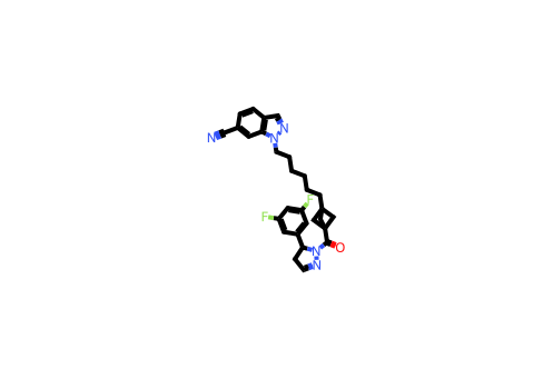 N#Cc1ccc2cnn(CCCCCCC34CC(C(=O)N5N=CCC5c5cc(F)cc(F)c5)(C3)C4)c2c1